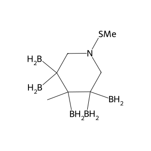 BC1(B)CN(SC)CC(B)(B)C1(B)C